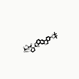 COC(=O)N[C@H](C(=O)N1[C@@H](C)CC[C@H]1c1nc2ccc3cc4c(cc3c2[nH]1)OCc1cc(B2OC(C)(C)C(C)(C)O2)ccc1-4)C(C)C